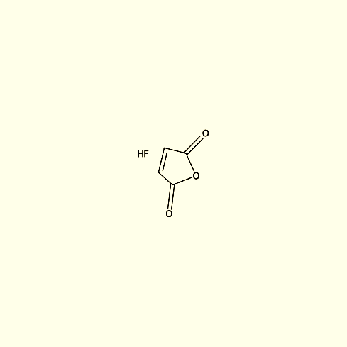 F.O=C1C=CC(=O)O1